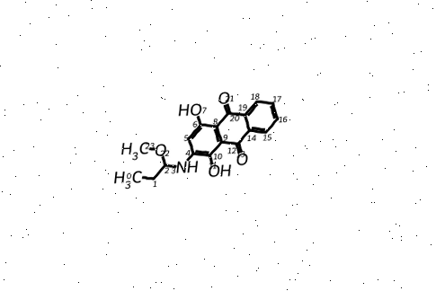 CCC(Nc1cc(O)c2c(c1O)C(=O)c1ccccc1C2=O)OC